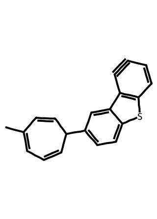 CC1=CC=CC(c2ccc3sc4ccc#cc4c3c2)C=C1